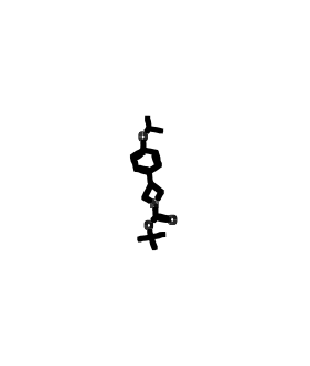 CC(C)Oc1ccc(C2CN(C(=O)OC(C)(C)C)C2)cc1